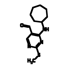 CSc1ncc(C=O)c(NC2CCCCCC2)n1